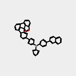 c1ccc(N(c2ccc(-c3ccc4c(c3)C35c6ccccc6-c6cccc(c63)-c3cccc-4c35)cc2)c2ccc(-c3ccc4ccccc4c3)cc2)cc1